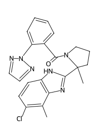 Cc1c(Cl)ccc2[nH]c(C3(C)CCCN3C(=O)c3ccccc3-n3nccn3)nc12